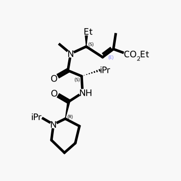 CCOC(=O)/C(C)=C/[C@H](CC)N(C)C(=O)[C@@H](NC(=O)[C@H]1CCCCN1C(C)C)C(C)C